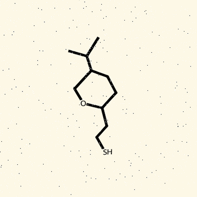 CC(C)C1CCC(CCS)OC1